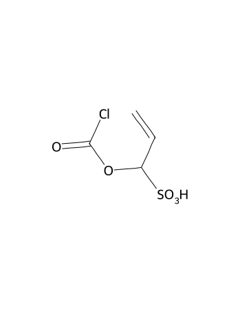 C=CC(OC(=O)Cl)S(=O)(=O)O